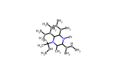 BBB(B)C1C(C)N(C(C)(BB)C(C)C)C(B(BB)B(B)B)C(B(B)B(B)B)N1C(C)C